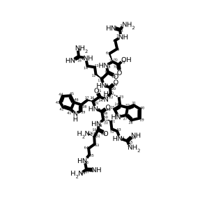 N=C(N)NCCC[C@H](NC(=O)[C@H](CCCNC(=N)N)NC(=O)[C@H](Cc1c[nH]c2ccccc12)NC(=O)[C@H](Cc1c[nH]c2ccccc12)NC(=O)[C@H](CCCNC(=N)N)NC(=O)[C@@H](N)CCCNC(=N)N)C(=O)O